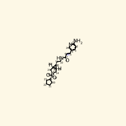 Nc1ccc(/C=C/C(=O)NCC[C@H]2[C@H]3CN(S(=O)(=O)C4CCCC4)C[C@@H]23)cn1